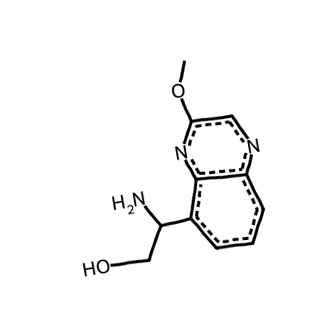 COc1cnc2cccc(C(N)CO)c2n1